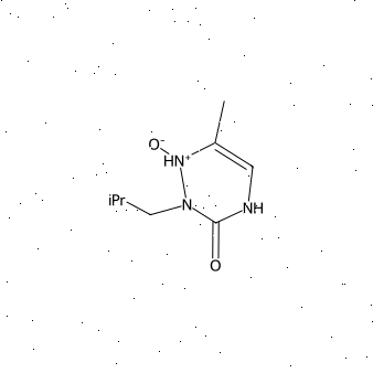 CC1=CNC(=O)N(CC(C)C)[NH+]1[O-]